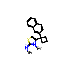 CC(C)/N=c1/scc(C2(c3ccc4ccccc4c3)CCC2)n1C(C)C